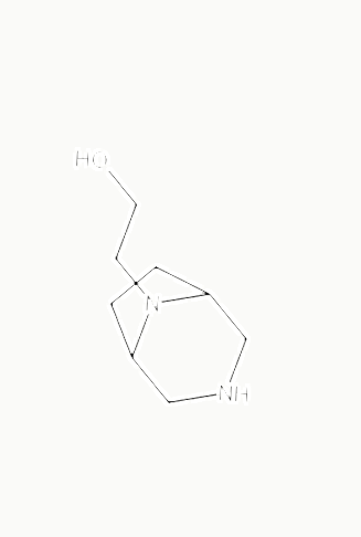 OCCN1C2CCC1CNC2